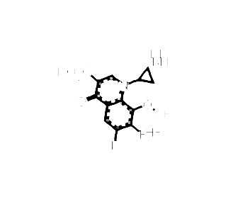 B.F.F.O=C(O)c1cn(C2CC2)c2c(OC(F)(F)F)c(F)c(F)cc2c1=O